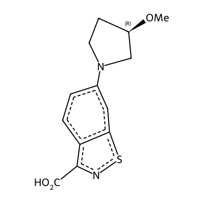 CO[C@@H]1CCN(c2ccc3c(C(=O)O)nsc3c2)C1